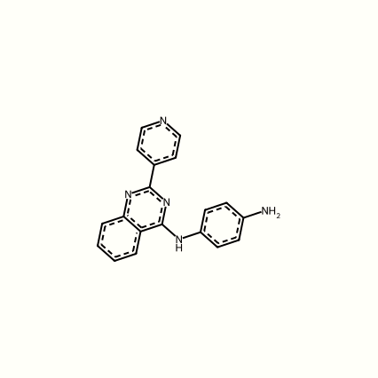 Nc1ccc(Nc2nc(-c3ccncc3)nc3ccccc23)cc1